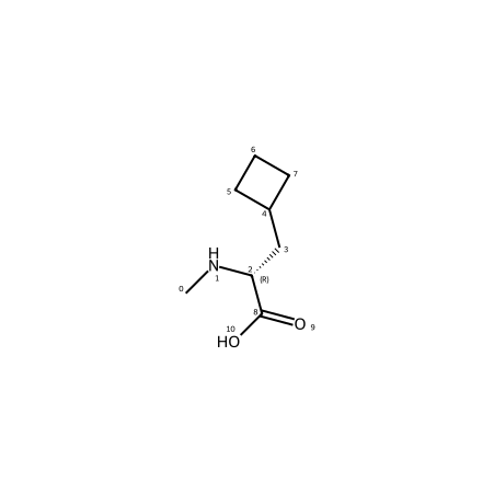 CN[C@H](CC1CCC1)C(=O)O